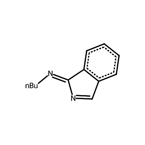 CCCCN=C1N=Cc2ccccc21